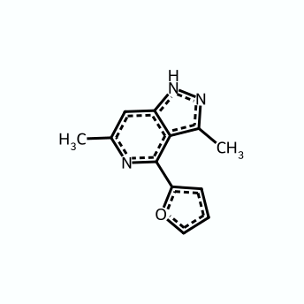 Cc1cc2[nH]nc(C)c2c(-c2ccco2)n1